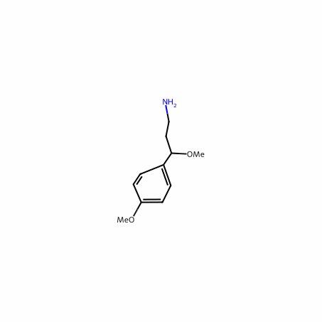 COc1ccc(C(CCN)OC)cc1